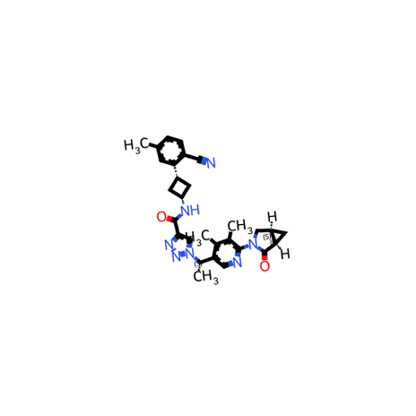 Cc1ccc(C#N)c([C@H]2C[C@@H](NC(=O)c3cn([C@@H](C)c4cnc(N5C[C@H]6C[C@H]6C5=O)c(C)c4C)nn3)C2)c1